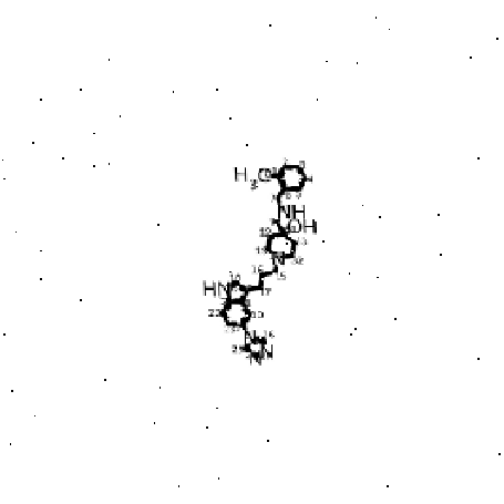 Cc1ccccc1CNCC1(O)CCN(CCCc2c[nH]c3ccc(-n4cnnc4)cc23)CC1